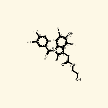 Cc1c(CC(=O)NCCO)c2c(F)c(O)c(F)cc2n1C(=O)c1ccc(Cl)c(F)c1